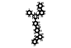 c1ccc(-c2nc(-c3ccc4c(c3)sc3cc(-c5cccc6c5sc5ccccc56)ccc34)nc(-c3cccc4c3sc3ccccc34)n2)cc1